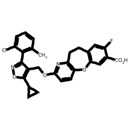 Cc1cccc(Cl)c1-c1noc(C2CC2)c1COc1ccc2c(n1)CCc1cc(F)c(C(=O)O)cc1O2